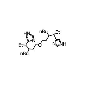 CCCCC(CCOCCC(CCCC)C(CC)c1c[nH]cn1)C(CC)c1c[nH]cn1